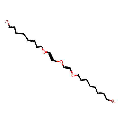 BrCCCCCCCCO/C=C/O/C=C/OCCCCCCCCBr